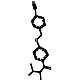 CC(C)C(C)C(=O)c1ccc(OCc2ccc(C#N)cc2)cc1